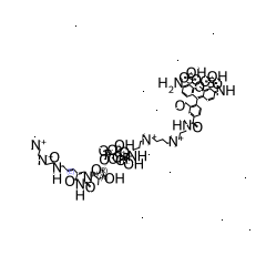 CC1[C@@H](O)[C@@H](COP(=O)(O)OP(=O)(O)OP(=O)(O)NCCC[N+](C)(C)CCCC[N+](C)(C)CCCNC(=O)c2ccc(-c3c4ccc(=N)c(S(=O)(=O)O)c-4oc4c(S(=O)(=O)O)c(N)ccc34)c(C=O)c2)O[C@H]1n1cc(/C=C/CNC(=O)C[N+](C)(C)CC[N+](C)(C)C)c(=O)[nH]c1=O